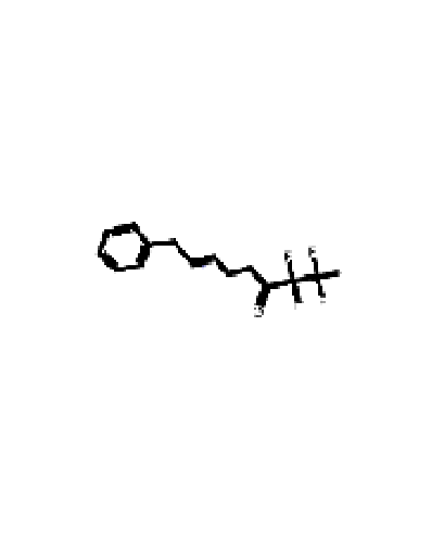 O=C(CC/C=C/Cc1ccccc1)C(F)(F)C(F)(F)F